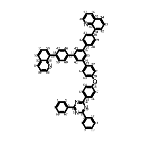 c1ccc(-c2nc(-c3ccccc3)nc(-c3ccc(Oc4ccc(-c5cc(-c6ccc(-c7cccc8cccnc78)cc6)cc(-c6ccc(-c7cccc8cccnc78)cc6)c5)cc4)cc3)n2)cc1